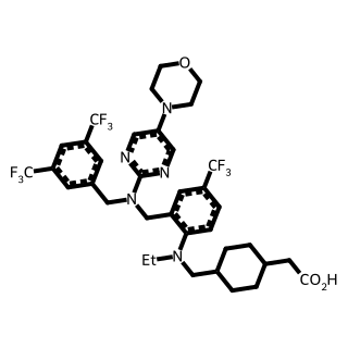 CCN(CC1CCC(CC(=O)O)CC1)c1ccc(C(F)(F)F)cc1CN(Cc1cc(C(F)(F)F)cc(C(F)(F)F)c1)c1ncc(N2CCOCC2)cn1